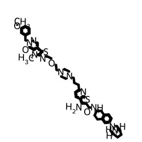 COc1cccc(Cn2ncc3c4sc(COCCN5CCN(CCCc6ccc7c(N)c(C(=O)N[C@H]8CCc9cc(N%10C[C@H]%11CC[C@@H](C%10)N%11)ccc9C8)sc7n6)CC5)nc4n(C)c3c2=O)c1